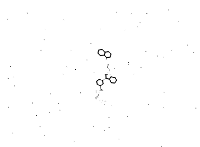 COCCNC(=O)c1cccc(-c2c(C(=O)O)n(CCCOc3cccc4ccccc34)c3ccccc23)c1